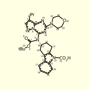 CC(C)c1cnn2c(N(C(=O)OC(C)(C)C)[C@@H]3CCc4c(c5ccccc5n4C(=O)O)C3)nc(N3CCOCC3)nc12